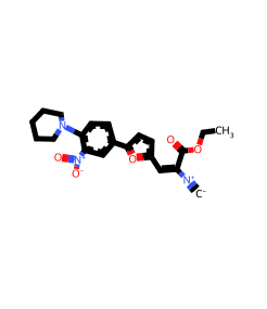 [C-]#[N+]/C(=C/c1ccc(-c2ccc(N3CCCCC3)c([N+](=O)[O-])c2)o1)C(=O)OCC